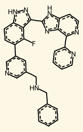 Fc1c(-c2cncc(CNCc3ccccc3)c2)ccc2[nH]nc(-c3nc4c(-c5ccccn5)nccc4[nH]3)c12